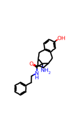 NC1(C(=O)NCCc2ccccc2)C2CCC1Cc1cc(O)ccc1C2